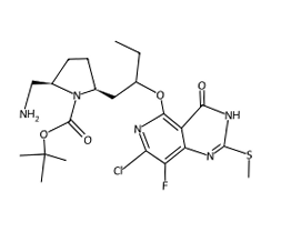 CCC(C[C@@H]1CC[C@H](CN)N1C(=O)OC(C)(C)C)Oc1nc(Cl)c(F)c2nc(SC)[nH]c(=O)c12